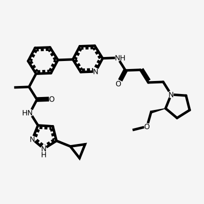 COC[C@@H]1CCCN1C/C=C/C(=O)Nc1ccc(-c2cccc(C(C)C(=O)Nc3cc(C4CC4)[nH]n3)c2)cn1